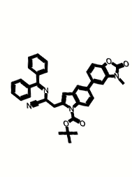 Cn1c(=O)oc2ccc(-c3ccc4c(c3)cc(CC(C#N)N=C(c3ccccc3)c3ccccc3)n4C(=O)OC(C)(C)C)cc21